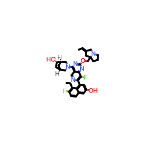 C/C=C1/CN2CCCC2(COc2nc(N3C[C@@H]4C[C@H](C3)[C@H](O)C4)c3cnc(-c4cc(O)cc5ccc(F)c(CC)c45)c(F)c3n2)C1